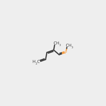 C=C/C=C(C)\C=P/C